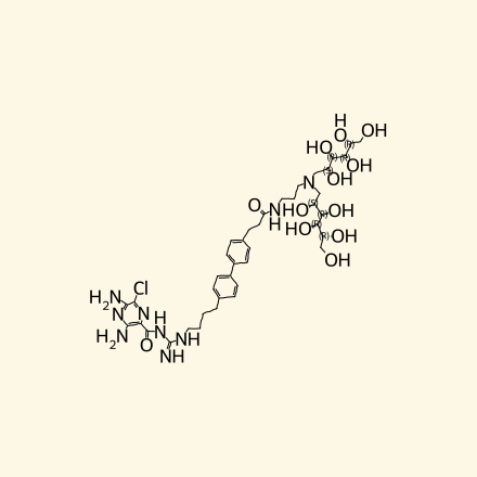 N=C(NCCCCc1ccc(-c2ccc(CCC(=O)NCCCN(C[C@H](O)[C@@H](O)[C@H](O)[C@H](O)CO)C[C@H](O)[C@@H](O)[C@H](O)[C@H](O)CO)cc2)cc1)NC(=O)c1nc(Cl)c(N)nc1N